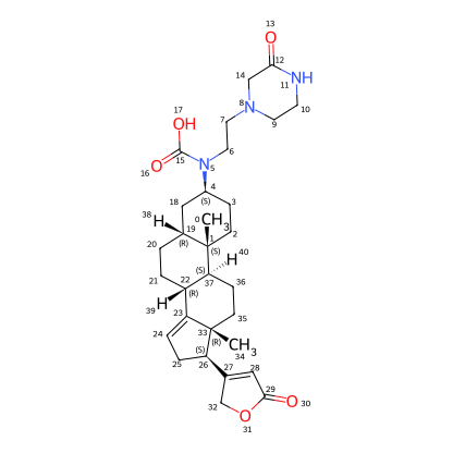 C[C@]12CC[C@H](N(CCN3CCNC(=O)C3)C(=O)O)C[C@H]1CC[C@H]1C3=CC[C@H](C4=CC(=O)OC4)[C@@]3(C)CC[C@@H]12